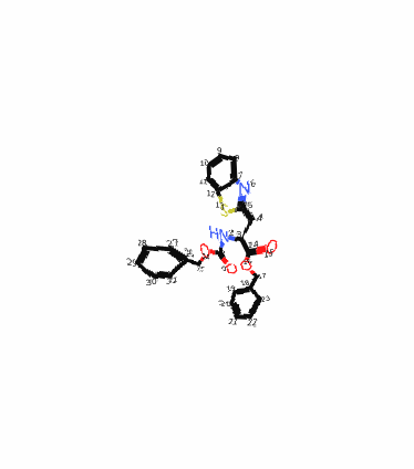 O=C(N[C@@H](Cc1nc2ccccc2s1)C(=O)OCc1ccccc1)OCc1ccccc1